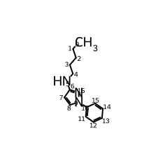 CCCCCNc1ccn(-c2ccccc2)n1